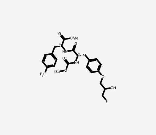 COC(=O)[C@H](Cc1ccc(C(F)(F)F)cc1)NC(=O)[C@H](Cc1ccc(OCC(O)CF)cc1)NC(=O)OC(C)(C)C